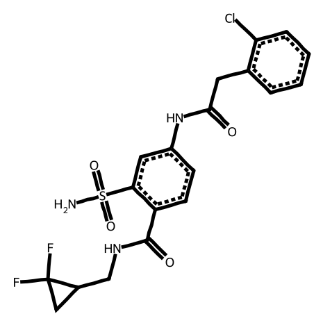 NS(=O)(=O)c1cc(NC(=O)Cc2ccccc2Cl)ccc1C(=O)NCC1CC1(F)F